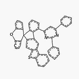 c1ccc(-c2cc(-c3cccc4c3-c3cc5c(cc3C43c4ccccc4Oc4ccccc43)sc3ccccc35)nc(-c3ccccc3)n2)cc1